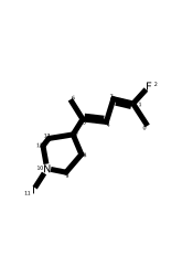 C/C(F)=C\C=C(/C)C1CCN(I)CC1